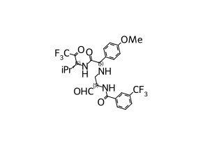 COc1ccc([C@H](NC[C@@H](C=O)NC(=O)c2cccc(C(F)(F)F)c2)C(=O)N[C@H](C(=O)C(F)(F)F)C(C)C)cc1